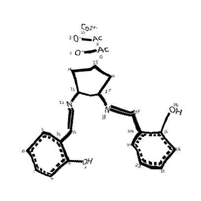 CC(=O)[O-].CC(=O)[O-].Oc1ccccc1C=NC1CCCC1N=Cc1ccccc1O.[Co+2]